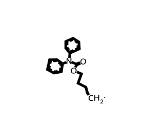 [CH2]CCCCOC(=O)N(c1ccccc1)c1ccccc1